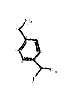 NCc1ccc(C(F)F)cc1